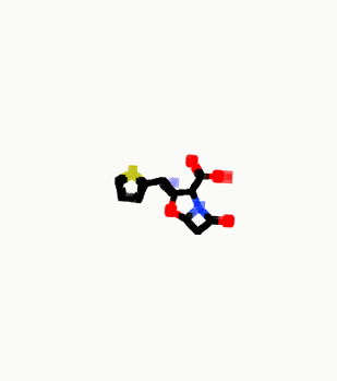 O=C(O)C1/C(=C/c2cccs2)OC2CC(=O)N21